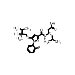 CC(C)C[C@@H](CC(=O)O)NC(=O)c1cc(OC[C@](C)(O)C(C)C)n(-c2ccccc2F)n1